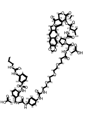 CCCNC(=O)Nc1cccc(S(=O)(=O)Nc2cccc([C@@H](CC(=O)O)NC(=O)Nc3ccc(NC(=O)NCCOCCOCCOCCC(=O)N[C@@H](CC(=O)O)C(=O)N4CCC[C@H]4C(=O)N[C@H](C(=O)O[C@]4(CC)C(=O)OCc5c4cc4n(c5=O)Cc5cc6cc7c(cc6nc5-4)OCO7)C(C)C)cc3)c2)c1